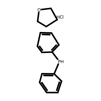 C1CCOC1.Cl.c1ccc(Pc2ccccc2)cc1